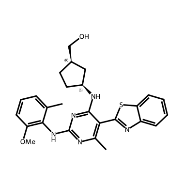 COc1cccc(C)c1Nc1nc(C)c(-c2nc3ccccc3s2)c(N[C@H]2CC[C@@H](CO)C2)n1